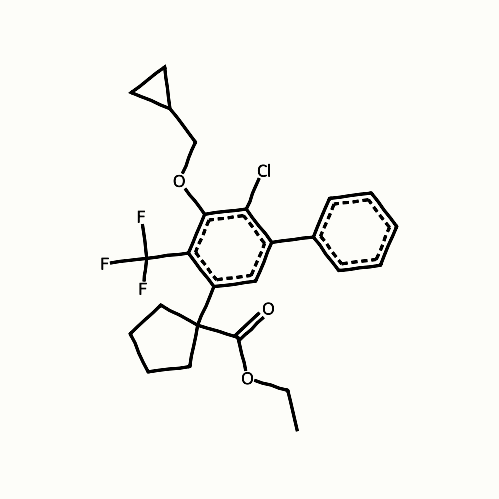 CCOC(=O)C1(c2cc(-c3ccccc3)c(Cl)c(OCC3CC3)c2C(F)(F)F)CCCC1